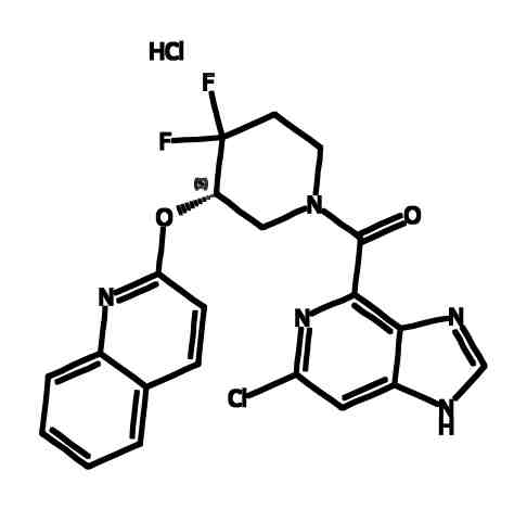 Cl.O=C(c1nc(Cl)cc2[nH]cnc12)N1CCC(F)(F)[C@@H](Oc2ccc3ccccc3n2)C1